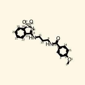 COc1ccc(C(=O)NCCCNC2=NS(=O)(=O)c3ccccc32)cc1